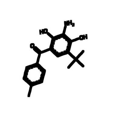 Cc1ccc(C(=O)c2cc(C(C)(C)C)c(O)c(N)c2O)cc1